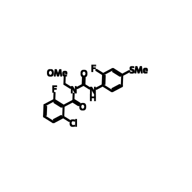 COCN(C(=O)Nc1ccc(SC)cc1F)C(=O)c1c(F)cccc1Cl